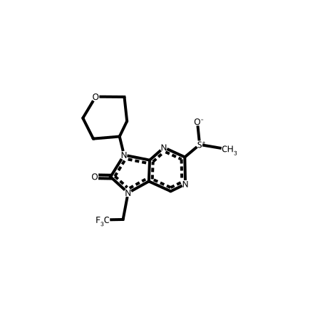 C[S+]([O-])c1ncc2c(n1)n(C1CCOCC1)c(=O)n2CC(F)(F)F